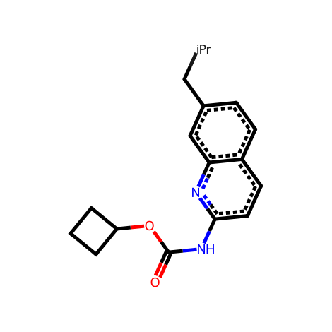 CC(C)Cc1ccc2ccc(NC(=O)OC3CCC3)nc2c1